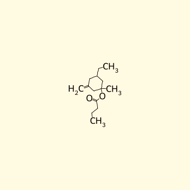 C=C1CC(CC)CC(C)(OC(=O)CCC)C1